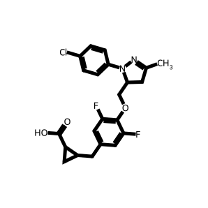 CC1=NN(c2ccc(Cl)cc2)C(COc2c(F)cc(CC3CC3C(=O)O)cc2F)C1